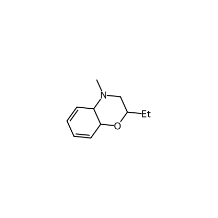 CCC1CN(C)C2C=CC=CC2O1